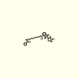 C=C1CCC(n2c(=C)c3cccc(NCCCCCCCCCC(=C)NC4CCCC4)c3c2=C)C(=C)N1